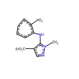 CCOC(=O)c1cnn(C)c1Nc1ccccc1[N+](=O)[O-]